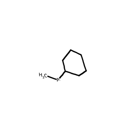 C[P]C1CCCCC1